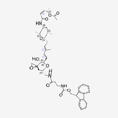 CC(=O)O[C@@H](C)/C=C\C(=O)N[C@@H]1C[C@H](C)[C@H](C/C=C(C)/C=C/[C@H]2O[C@H](CNC(=O)CCNC(=O)OCC3c4ccccc4-c4ccccc43)C[C@@]3(CO3)[C@@H]2O)O[C@@H]1C